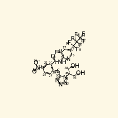 O=C(Nc1ncc(C(F)(F)C(F)(F)C(F)(F)F)cc1F)c1cc([N+](=O)[O-])ccc1Sc1nnnn1C(CO)CO